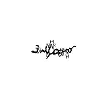 CCc1ccc2[nH]c(C(=O)Nc3ccc(-c4csc5c(C=CCN(CC)CC)cnc(N)c45)cc3OC)cc2c1